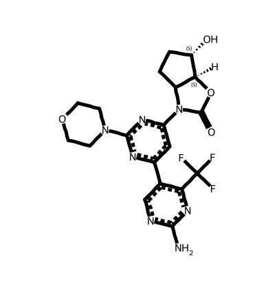 Nc1ncc(-c2cc(N3C(=O)O[C@H]4C3CC[C@@H]4O)nc(N3CCOCC3)n2)c(C(F)(F)F)n1